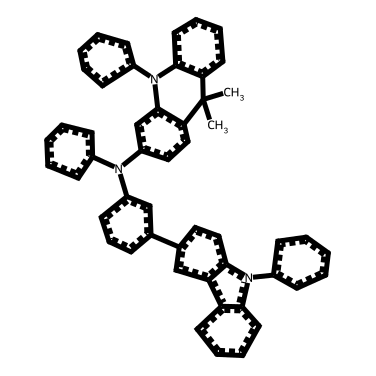 CC1(C)c2ccccc2N(c2ccccc2)c2cc(N(c3ccccc3)c3cccc(-c4ccc5c(c4)c4ccccc4n5-c4ccccc4)c3)ccc21